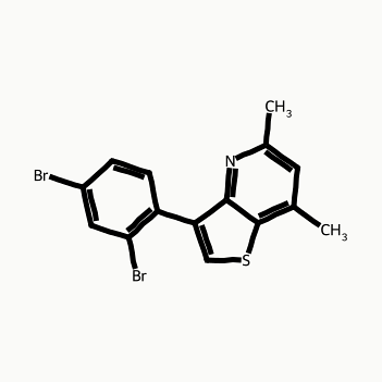 Cc1cc(C)c2scc(-c3ccc(Br)cc3Br)c2n1